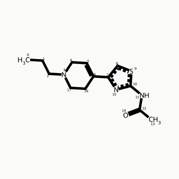 CCCN1CC=C(c2csc(NC(C)=O)n2)CC1